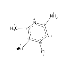 CCCCc1c(C)nc(N)nc1Cl